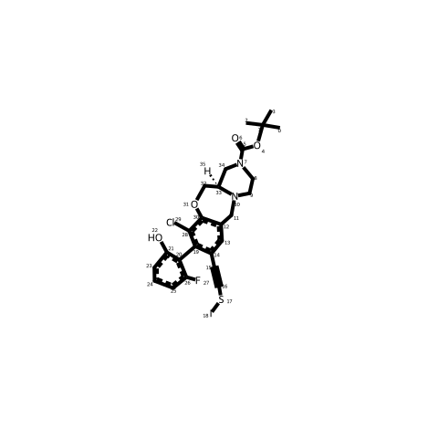 CC(C)(C)OC(=O)N1CCN2Cc3cc(C#CSI)c(-c4c(O)cccc4F)c(Cl)c3OC[C@H]2C1